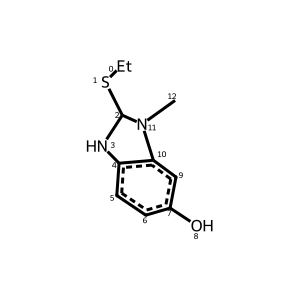 CCSC1Nc2ccc(O)cc2N1C